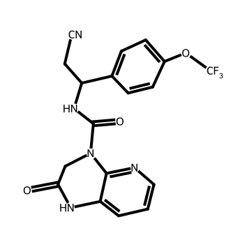 N#CCC(NC(=O)N1CC(=O)Nc2cccnc21)c1ccc(OC(F)(F)F)cc1